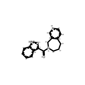 O=C(c1n[nH]c2ccccc12)N1CCCc2ccncc2C1